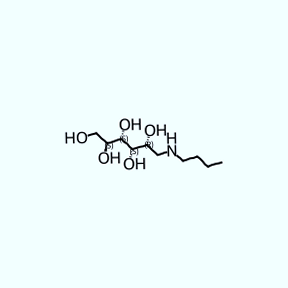 CCCCNC[C@@H](O)[C@H](O)[C@@H](O)[C@@H](O)CO